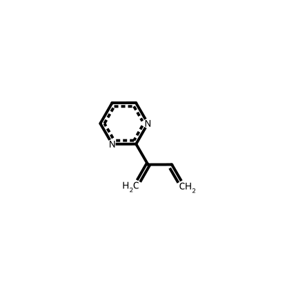 C=CC(=C)c1ncccn1